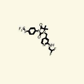 CC1(C)C(=O)N(c2ccc(SC(F)(F)F)cc2)C(=O)N1Cc1ccnc(NCC(F)F)c1